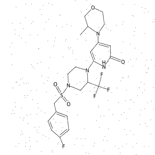 CC1COCCN1c1cc(N2CCN(S(=O)(=O)Cc3ccc(F)cc3)CC2C(F)(F)F)[nH]c(=O)c1